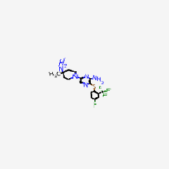 CC1(N)CCN(c2cnc(Sc3ccc(F)cc3C(F)(F)F)c(N)n2)CC1